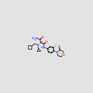 NC(=O)[C@H](C(=O)Nc1ccc(N2CCOCC2=O)c(F)c1)N(CC1CCC1)C1CC1